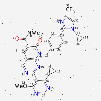 CNC(=O)c1c(C)c2cnc(-c3c(OC)ncnc3C3CC3)nc2n(Cc2ccc(-c3nc(C(F)(F)F)cn3C3CC3)cc2)c1=O